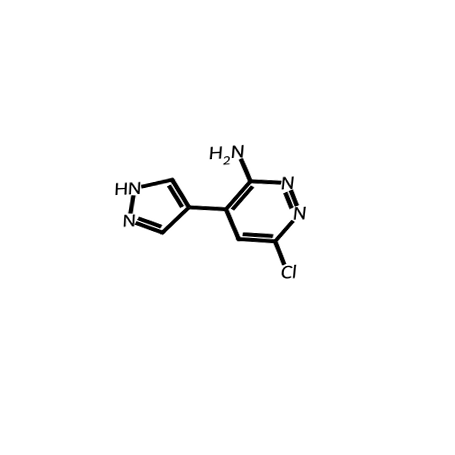 Nc1nnc(Cl)cc1-c1cn[nH]c1